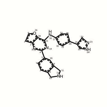 c1cc2nc(-c3ccc4c(c3)CNC4)nc(Nc3ccc(-c4cn[nH]c4)cc3)c2o1